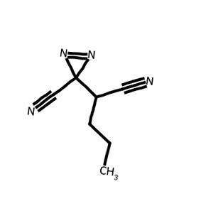 CCCC(C#N)C1(C#N)N=N1